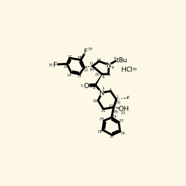 C[C@H]1CN(C(=O)[C@@H]2CN(C(C)(C)C)C[C@H]2c2ccc(F)cc2F)CC[C@]1(O)c1ccccc1.Cl